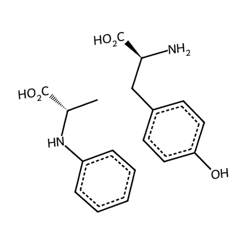 C[C@H](Nc1ccccc1)C(=O)O.N[C@@H](Cc1ccc(O)cc1)C(=O)O